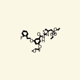 CCOP(=O)(CC1CSC(NC(=O)c2cc(OCCc3ccccc3F)cc(O[C@@H](C)COC)c2)=N1)OCC